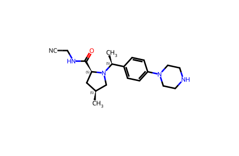 C[C@H]1C[C@@H](C(=O)NCC#N)N([C@@H](C)c2ccc(N3CCNCC3)cc2)C1